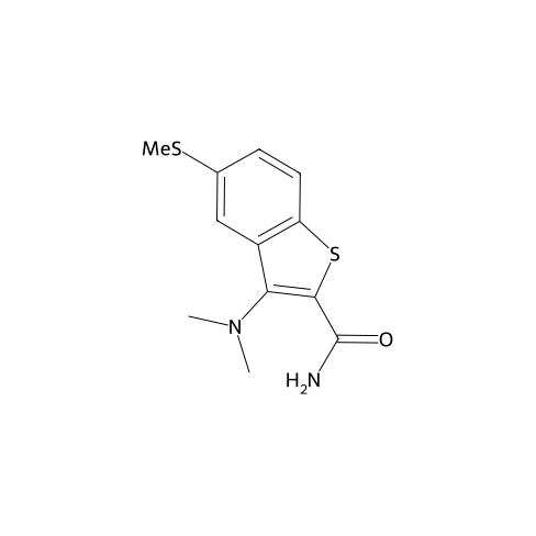 CSc1ccc2sc(C(N)=O)c(N(C)C)c2c1